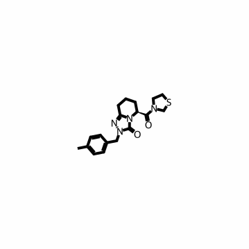 Cc1ccc(Cn2nc3n(c2=O)[C@H](C(=O)N2CCSC2)CCC3)cc1